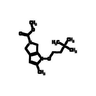 COC(=O)N1Cc2cc(C)n(OCC[Si](C)(C)C)c2C1